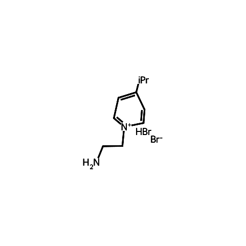 Br.CC(C)c1cc[n+](CCN)cc1.[Br-]